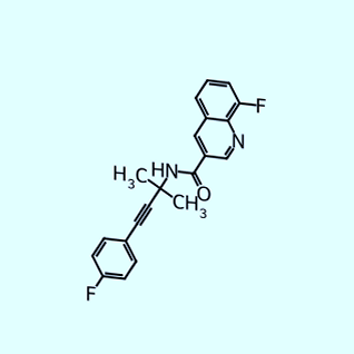 CC(C)(C#Cc1ccc(F)cc1)NC(=O)c1cnc2c(F)cccc2c1